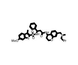 COc1ccc2c(C)c(S(=O)(=O)NC(CC(=O)NC3CCOc4cc(CN(C)CC(C)C)ccc43)c3ccccc3)sc2c1